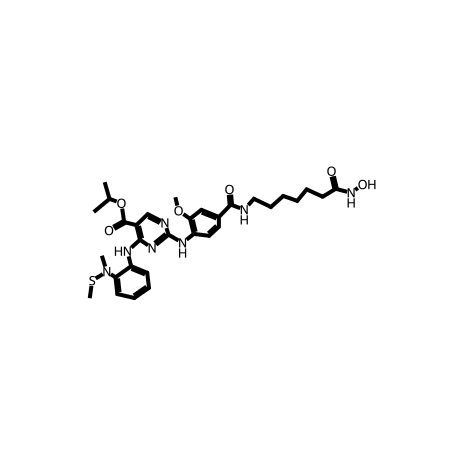 COc1cc(C(=O)NCCCCCCC(=O)NO)ccc1Nc1ncc(C(=O)OC(C)C)c(Nc2ccccc2N(C)SC)n1